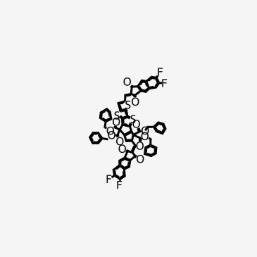 O=C1C(=CC2=CC3=C(c4sc5c(sc6cc(C=C7C(=O)c8cc9cc(F)c(F)cc9cc8C7=O)sc65)c4C3(C(=O)OCc3ccccc3)C(=O)OCc3ccccc3)C2(C(=O)OCc2ccccc2)C(=O)OCc2ccccc2)C(=O)c2cc3cc(F)c(F)cc3cc21